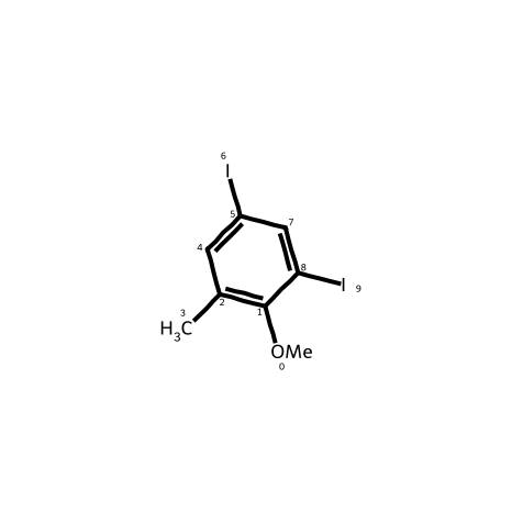 COc1c(C)cc(I)cc1I